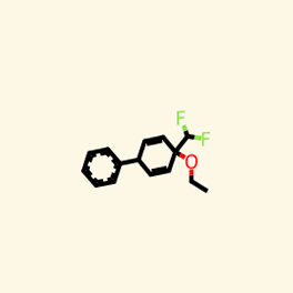 CCOC1(C(F)F)C=CC(c2ccccc2)C=C1